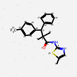 Cc1cnc(NC(=O)C(C)(C)C(c2ccccc2)c2ccc(C(F)(F)F)cc2)s1